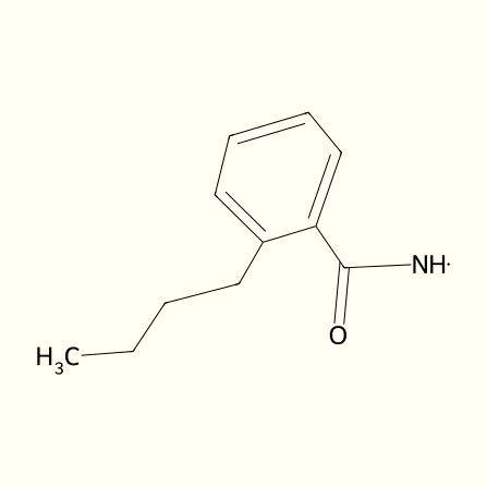 CCCCc1ccccc1C([NH])=O